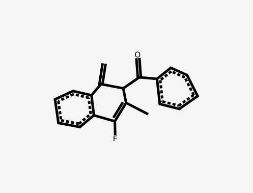 C=C1c2ccccc2C(F)=C(C)C1C(=O)c1ccccc1